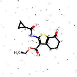 CCOC(=O)c1c(NC(=O)C2CC2)sc2c1CCCC2=O